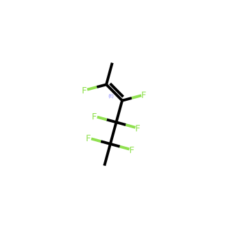 C/C(F)=C(\F)C(F)(F)C(C)(F)F